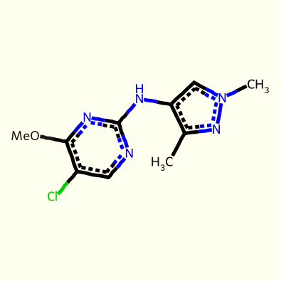 COc1nc(Nc2cn(C)nc2C)ncc1Cl